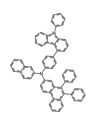 c1ccc(-c2c(-c3ccccc3)c3cc(N(c4ccc(-c5cccc6c5c5ccccc5n6-c5ccccc5)cc4)c4ccc5ccccc5c4)ccc3c3ccccc23)cc1